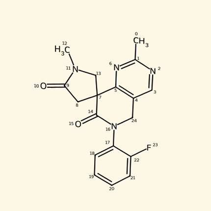 Cc1ncc2c(n1)C1(CC(=O)N(C)C1)C(=O)N(c1ccccc1F)C2